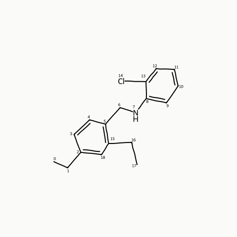 CCc1ccc(CNc2ccccc2Cl)c(CC)c1